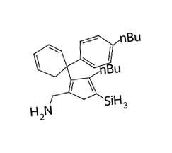 CCCCC1=C([SiH3])CC(CN)=C1C1(c2ccc(CCCC)cc2)C=CC=CC1